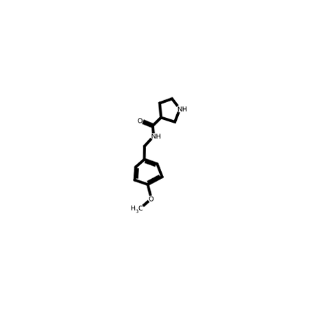 COc1ccc(CNC(=O)C2CCNC2)cc1